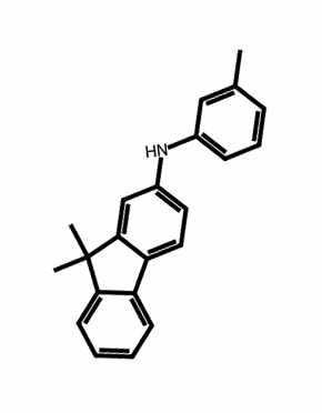 Cc1cccc(Nc2ccc3c(c2)C(C)(C)c2ccccc2-3)c1